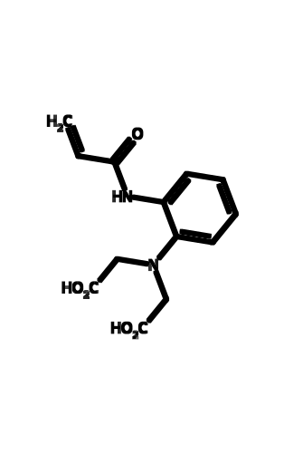 C=CC(=O)Nc1ccccc1N(CC(=O)O)CC(=O)O